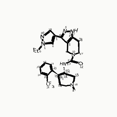 CCn1cc(-c2n[nH]c3c2CN(C(=O)N[C@@H]2CN(C)C[C@H]2c2ccccc2C(F)(F)F)CC3)cn1